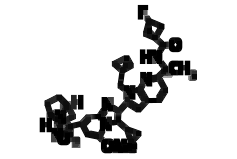 COc1cc(C(=O)N2[C@H]3CC[C@@H]2[C@H](N)C3)cc2nc(-c3cc4ccc([C@@H](C)NC(=O)C56CC(F)(C5)C6)nc4n3CC34CC(C3)C4)c(C3CC3)n12